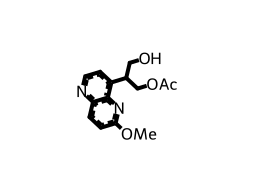 COc1ccc2nccc(C(CO)COC(C)=O)c2n1